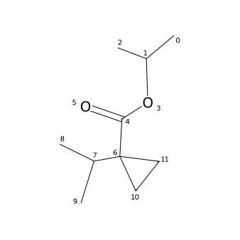 CC(C)OC(=O)C1(C(C)C)CC1